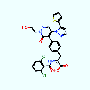 O=C(N[C@@H](Cc1ccc(-c2c(-n3nccc3-c3cccs3)cnn(CCO)c2=O)cc1)C(=O)O)c1c(Cl)cccc1Cl